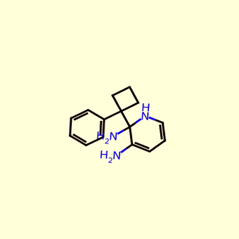 NC1=CC=CNC1(N)C1(c2ccccc2)CCC1